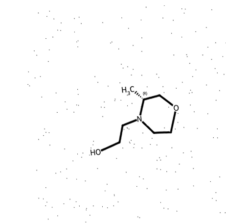 C[C@@H]1COCCN1CCO